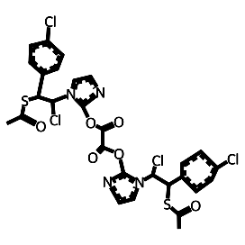 CC(=O)SC(c1ccc(Cl)cc1)C(Cl)n1ccnc1OC(=O)C(=O)Oc1nccn1C(Cl)C(SC(C)=O)c1ccc(Cl)cc1